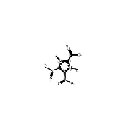 Cn1c([N+](=O)[O-])c([N+](=O)[O-])[n+](C)c1C(=O)[O-]